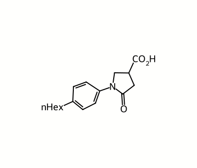 CCCCCCc1ccc(N2CC(C(=O)O)CC2=O)cc1